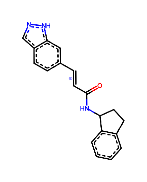 O=C(/C=C/c1ccc2cn[nH]c2c1)NC1CCc2ccccc21